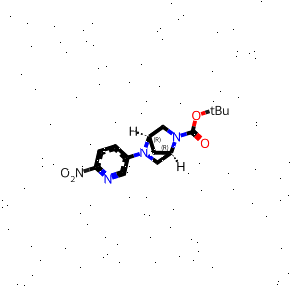 CC(C)(C)OC(=O)N1C[C@H]2C[C@@H]1CN2c1ccc([N+](=O)[O-])nc1